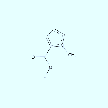 Cn1cccc1C(=O)OF